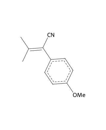 COc1ccc(C(C#N)=C(C)C)cc1